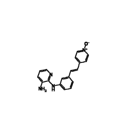 Nc1cccnc1Nc1cccc(/C=C/c2cc[n+]([O-])cc2)c1